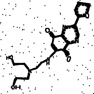 O=C1C=C(NCCN(CCO)CCO)C(=O)c2ncc(-c3ccco3)nc21